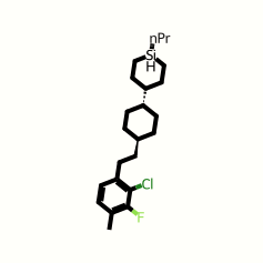 CCC[SiH]1CCC([C@H]2CC[C@H](CCc3ccc(C)c(F)c3Cl)CC2)CC1